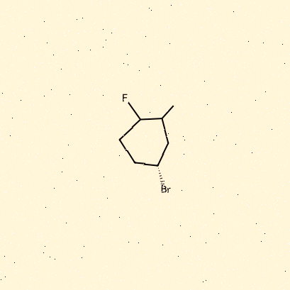 CC1C[C@H](Br)CCC1F